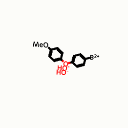 [B+2]c1ccc(Oc2ccc(OC)cc2)cc1.[OH-].[OH-]